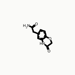 NC(=O)Cc1ccc2c(c1)NC(=O)CO2